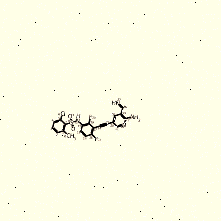 Cc1cccc(Cl)c1S(=O)(=O)Nc1ccc(F)c(C#Cc2cnc(N)c(C=N)c2)c1F